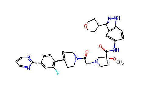 CO[C@@]1(C(=O)Nc2ccc3[nH]nc(C4CCOCC4)c3c2)CCN(CC(=O)N2CC=C(c3ccc(-c4ncccn4)cc3F)CC2)C1